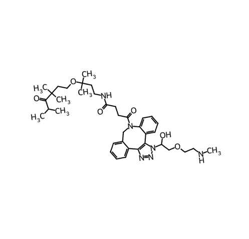 CNCCOCC(O)n1nnc2c1-c1ccccc1N(C(=O)CCC(=O)NCCC(C)(C)OCCC(C)(C)C(=O)C(C)C)Cc1ccccc1-2